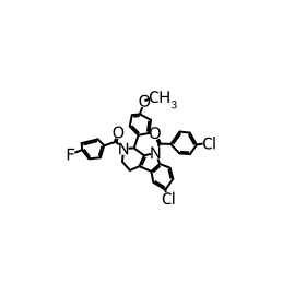 COc1ccc(C2c3c(c4cc(Cl)ccc4n3C(=O)c3ccc(Cl)cc3)CCN2C(=O)c2ccc(F)cc2)cc1